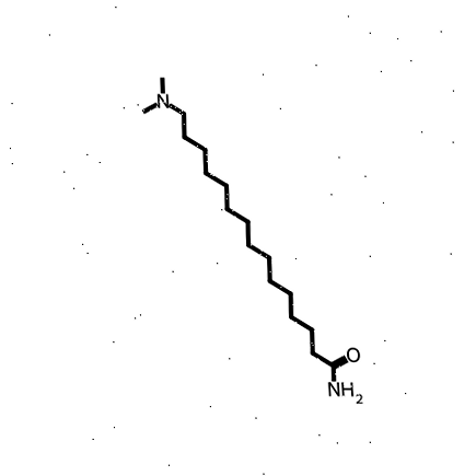 CN(C)CCCCCCCCCCCCCCC(N)=O